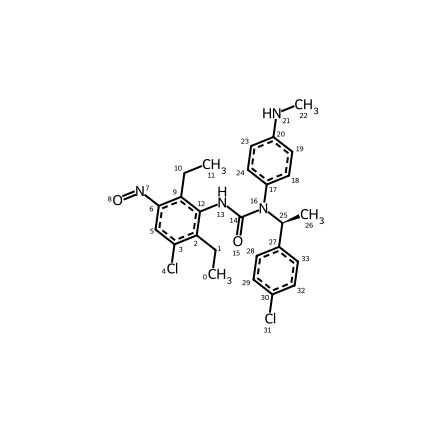 CCc1c(Cl)cc(N=O)c(CC)c1NC(=O)N(c1ccc(NC)cc1)[C@@H](C)c1ccc(Cl)cc1